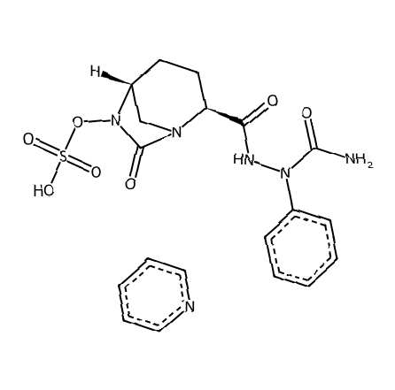 NC(=O)N(NC(=O)[C@@H]1CC[C@@H]2CN1C(=O)N2OS(=O)(=O)O)c1ccccc1.c1ccncc1